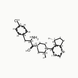 C[C@@H]1CCc2ncnc(N3CCN(C(=O)[C@H](N)Cc4ccc(Cl)cc4)C[C@@H]3C)c21